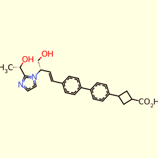 C[C@H](O)c1nccn1[C@@H](/C=C/c1ccc(-c2ccc(C3CC(C(=O)O)C3)cc2)cc1)CO